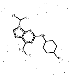 CCCNc1nc(NC2CCC(N)CC2)nc2c1ncn2C(CC)CC